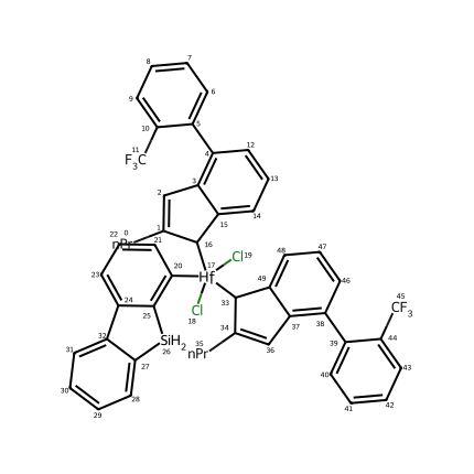 CCCC1=Cc2c(-c3ccccc3C(F)(F)F)cccc2[CH]1[Hf]([Cl])([Cl])([c]1cccc2c1[SiH2]c1ccccc1-2)[CH]1C(CCC)=Cc2c(-c3ccccc3C(F)(F)F)cccc21